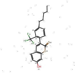 CCCCCc1ccc(-c2cc3ccc(O)cc3sc2=S)c(C(F)(F)F)c1